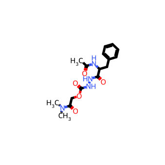 CC(=O)NC(Cc1ccccc1)C(=O)NNC(=O)OCC(=O)N(C)C